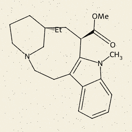 CC[C@]12CCCN(CCc3c(n(C)c4ccccc34)[C@H](C(=O)OC)C1)C2